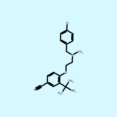 CN(CCOc1ccc(C#N)cc1C(C)(C)N)Cc1ccc(Cl)cc1